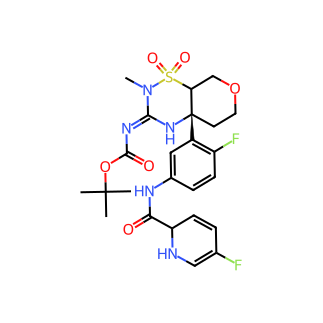 CN1/C(=N/C(=O)OC(C)(C)C)N[C@@]2(c3cc(NC(=O)C4C=CC(F)=CN4)ccc3F)CCOCC2S1(=O)=O